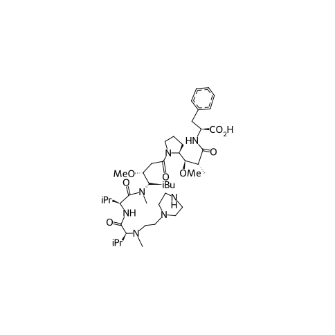 CC[C@H](C)[C@@H]([C@@H](CC(=O)N1CCC[C@H]1[C@H](OC)[C@@H](C)C(=O)N[C@@H](Cc1ccccc1)C(=O)O)OC)N(C)C(=O)[C@@H](NC(=O)[C@H](C(C)C)N(C)CCN1CCNCC1)C(C)C